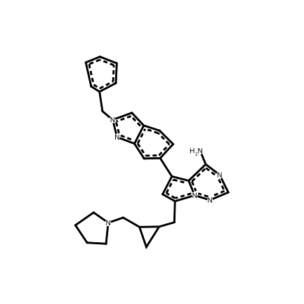 Nc1ncnn2c(CC3CC3CN3CCCC3)cc(-c3ccc4cn(Cc5ccccc5)nc4c3)c12